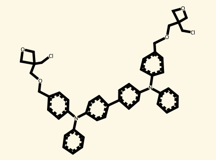 ClCC1(COCc2ccc(N(c3ccccc3)c3ccc(-c4ccc(N(c5ccccc5)c5ccc(COCC6(CCl)COC6)cc5)cc4)cc3)cc2)COC1